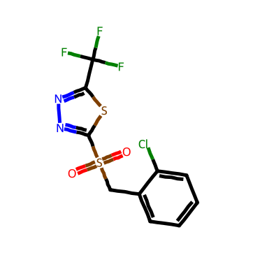 O=S(=O)(Cc1ccccc1Cl)c1nnc(C(F)(F)F)s1